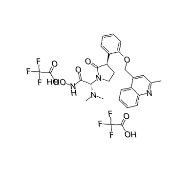 Cc1cc(COc2ccccc2[C@H]2CCN([C@@H](C(=O)NO)N(C)C)C2=O)c2ccccc2n1.O=C(O)C(F)(F)F.O=C(O)C(F)(F)F